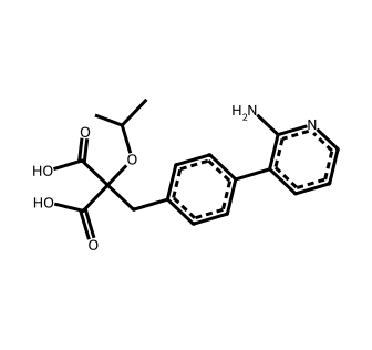 CC(C)OC(Cc1ccc(-c2cccnc2N)cc1)(C(=O)O)C(=O)O